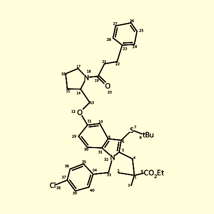 CCOC(=O)C(C)(C)Cc1c(SC(C)(C)C)c2cc(OCC3CCCN3C(=O)CCc3ccccc3)ccc2n1Cc1ccc(Cl)cc1